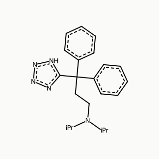 CC(C)N(CCC(c1ccccc1)(c1ccccc1)c1nnn[nH]1)C(C)C